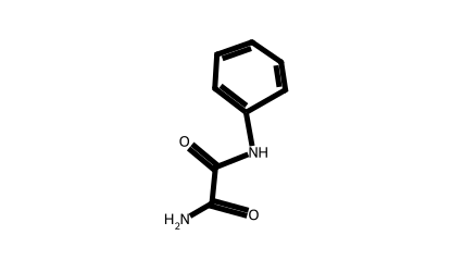 NC(=O)C(=O)Nc1ccccc1